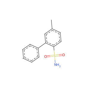 Cc1ccc(S(N)(=O)=O)c(-c2cc[c]cc2)c1